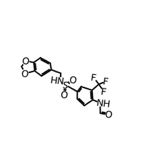 O=CNc1ccc(S(=O)(=O)NCc2ccc3c(c2)OCO3)cc1C(F)(F)F